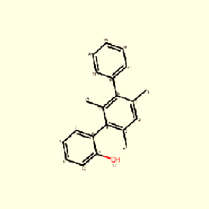 Cc1cc(C)c(-c2ccccc2O)c(C)c1-c1ccccc1